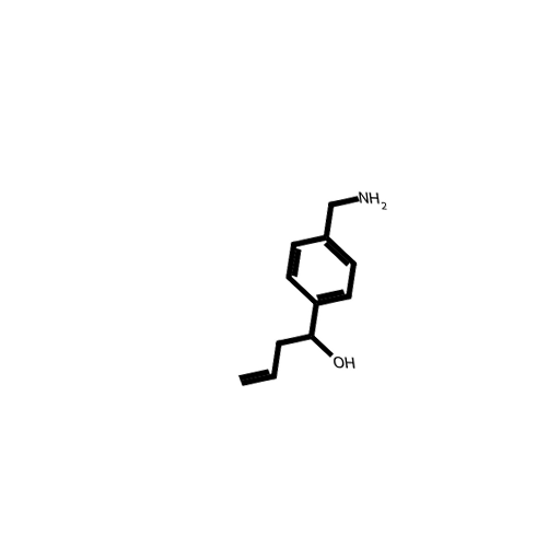 C=CCC(O)c1ccc(CN)cc1